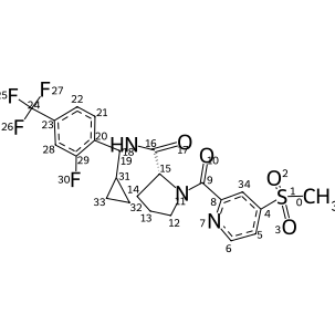 CS(=O)(=O)c1ccnc(C(=O)N2CCC[C@@H]2C(=O)N[C@@H](c2ccc(C(F)(F)F)cc2F)C2CC2)c1